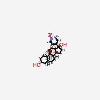 C[C@]12CC[C@H](O)C[C@@H]1CC[C@@H]1[C@@H]2CC[C@]2(C)[C@@](O)(c3cc[n+]([O-])cc3)CC[C@]12O